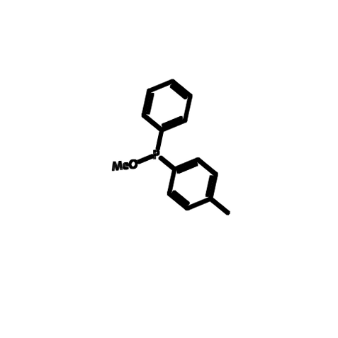 COP(c1ccccc1)c1ccc(C)cc1